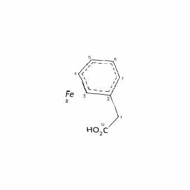 O=C(O)Cc1ccccc1.[Fe]